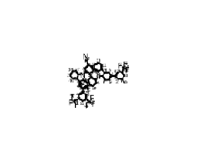 Cc1cc(-c2ccc3c(c2)c2ccccc2n3-c2ccc(C(F)(F)F)cc2-c2ccc(C#N)cc2-n2c3ccccc3c3cc(-c4cc(C(F)(F)F)cc(C(F)(F)F)c4)ccc32)cc(C(F)(F)F)c1